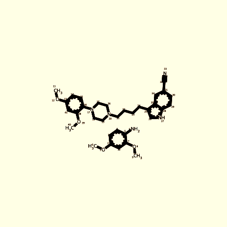 COc1ccc(N)c(OC)c1.COc1ccc(N2CCN(CCCCc3c[nH]c4ccc(C#N)cc34)CC2)c(OC)c1